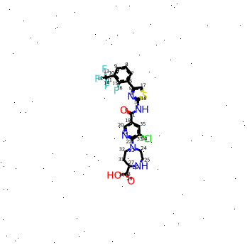 O=C(Nc1nc(-c2cccc(C(F)(F)F)c2F)cs1)c1cnc(N2CCNC(C(=O)O)CC2)c(Cl)c1